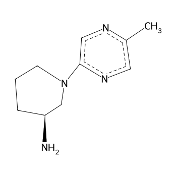 Cc1cnc(N2CCC[C@H](N)C2)cn1